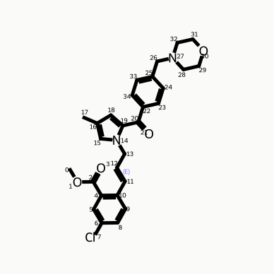 COC(=O)c1cc(Cl)ccc1/C=C/Cn1cc(C)cc1C(=O)c1ccc(CN2CCOCC2)cc1